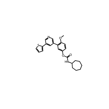 COc1ccc(OC(=O)NC2CCCCCC2)cc1-c1cncc(-c2cccs2)c1